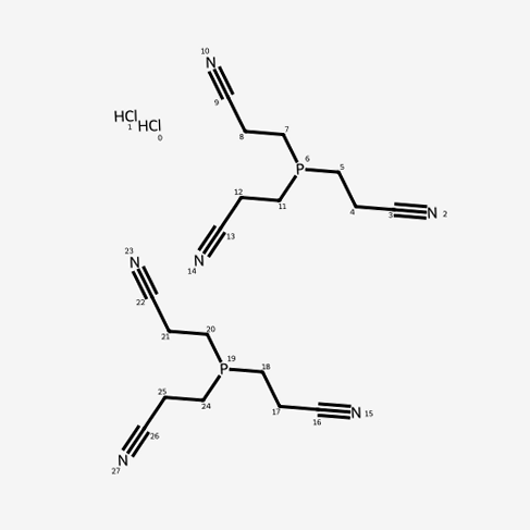 Cl.Cl.N#CCCP(CCC#N)CCC#N.N#CCCP(CCC#N)CCC#N